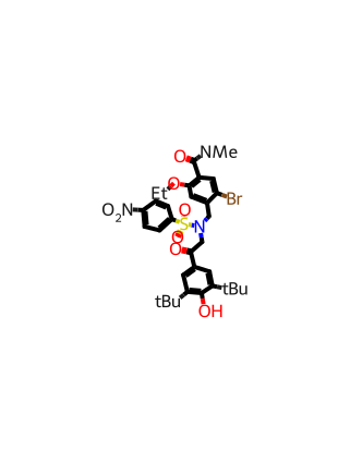 CCOc1cc(CN(CC(=O)c2cc(C(C)(C)C)c(O)c(C(C)(C)C)c2)S(=O)(=O)c2ccc([N+](=O)[O-])cc2)c(Br)cc1C(=O)NC